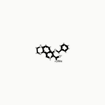 COC(=O)c1ncc2c3c(ccc2c1OCc1ccccc1)OCCO3